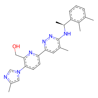 Cc1cn(-c2ccc(-c3cc(C)c(N[C@@H](C)c4cccc(C)c4C)nn3)nc2CO)cn1